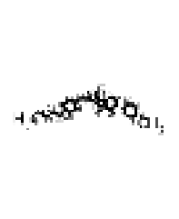 C=C[C@H]1CC[C@H](c2ccc(C(F)(F)OCCc3ccc(CC/C=C/C)cc3)c(F)c2)CC1